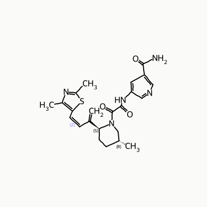 C=C(/C=C\c1sc(C)nc1C)[C@@H]1CC[C@@H](C)CN1C(=O)C(=O)Nc1cncc(C(N)=O)c1